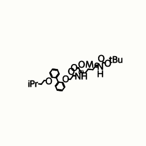 COC(=O)[C@@H](CCCCNC(=O)OC(C)(C)C)NC(=O)COc1ccccc1-c1ccccc1OCCC(C)C